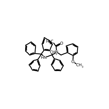 COc1ccccc1CN(C(C)=O)C(C)(NC(c1ccccc1)(c1ccccc1)c1ccccc1)c1ccccc1